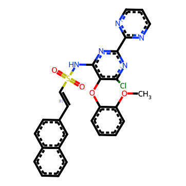 COc1ccccc1Oc1c(Cl)nc(-c2ncccn2)nc1NS(=O)(=O)/C=C/c1ccc2ccccc2c1